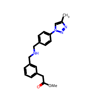 COC(=O)Cc1cccc(CNCc2ccc(-n3cc(C)nn3)cc2)c1